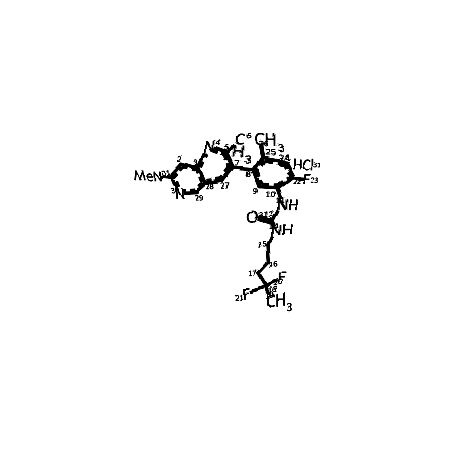 CNc1cc2nc(C)c(-c3cc(NC(=O)NCCCC(C)(F)F)c(F)cc3C)cc2cn1.Cl